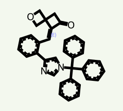 O=C1CC2(COC2)/C1=C\c1ccccc1-c1cn(C(c2ccccc2)(c2ccccc2)c2ccccc2)cn1